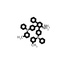 Cc1cccc(N(c2ccccc2)c2ccc(-c3c(N)ccc(-c4ccccc4)c3-c3ccc(N(c4ccccc4)c4cccc(C)c4)cc3)cc2)c1.N